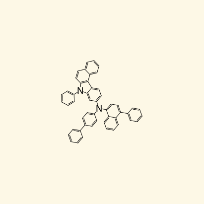 c1ccc(-c2ccc(N(c3ccc4c5c6ccccc6ccc5n(-c5ccccc5)c4c3)c3ccc(-c4ccccc4)c4ccccc34)cc2)cc1